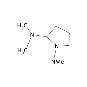 CNN1CCCC1N(C)C